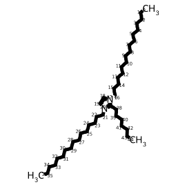 CCCCCCCCCCCCCCCCC[n+]1ccn(CCCCCCCCCCCCCCCC)c1CCCCCCC